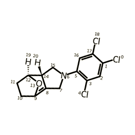 Clc1cc(Cl)c(N2CC3=C4CC[C@H](O4)[C@@H]3C2)cc1Cl